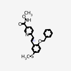 CONC(=O)c1ccc(/C=C/c2cc(SC)ccc2OCc2ccccc2)nc1